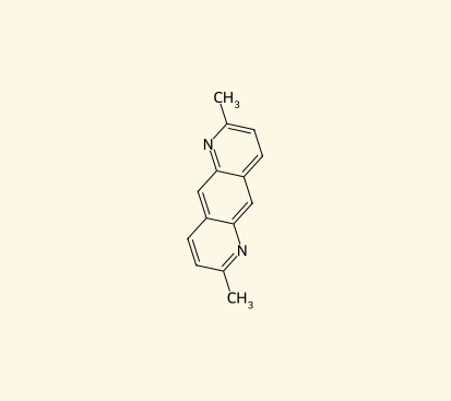 Cc1ccc2cc3nc(C)ccc3cc2n1